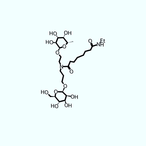 CCNC(=O)CCCCCCC(=O)N(CCCO[C@@H]1O[C@H](CO)[C@@H](O)[C@H](O)[C@@H]1O)CCO[C@@H]1O[C@@H](C)[C@@H](O)[C@@H](O)[C@@H]1O